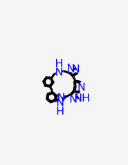 Cn1ncc2c1CNCc1cccc(c1)-c1cccc3[nH]c(nc13)-c1n[nH]c3ncc-2cc13